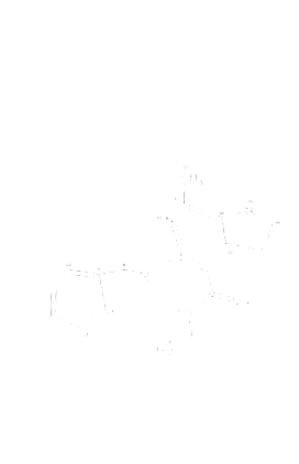 CCOC(=O)c1c(OCc2ccccc2)nc(C)c2ncsc12